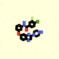 O=C(Nc1cccc(Oc2ccc3ncc(N4CCNCC4)nc3c2)c1)c1ccc(Cl)c(F)c1